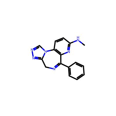 CNc1ccc2c(n1)C(c1ccccc1)=NCc1nncn1-2